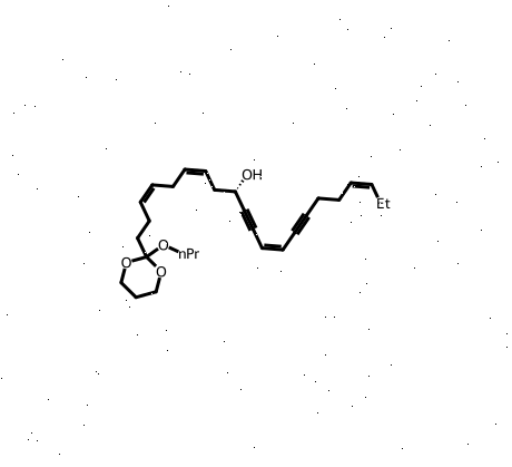 CC/C=C\CCC#C/C=C\C#C[C@@H](O)C/C=C\C/C=C\CCC1(OCCC)OCCCO1